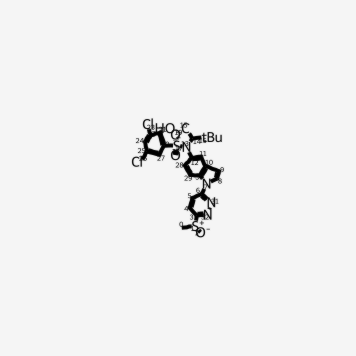 C[S+]([O-])c1ccc(-n2ccc3cc(N(C(C(=O)O)C(C)(C)C)S(=O)(=O)c4cc(Cl)cc(Cl)c4)ccc32)nn1